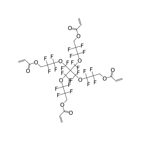 C=CC(=O)OCC(F)(F)C(F)(F)OC(F)(F)C(C(F)(F)OC(F)(F)C(F)(F)COC(=O)C=C)(C(F)(F)OC(F)(F)C(F)(F)COC(=O)C=C)C(F)(F)OC(F)(F)C(F)(F)COC(=O)C=C